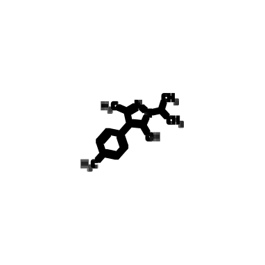 Cc1ccc(-c2c(C)nn(C(C)C)c2O)cc1